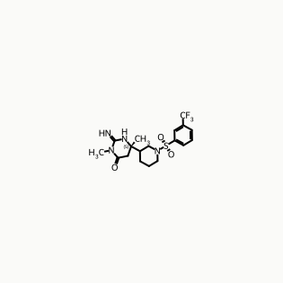 CN1C(=N)N[C@](C)(C2CCCN(S(=O)(=O)c3cccc(C(F)(F)F)c3)C2)CC1=O